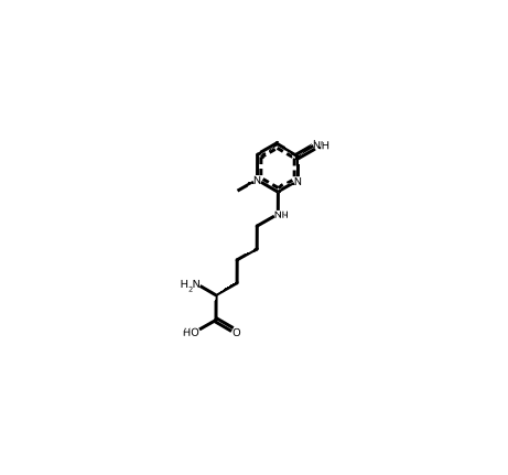 Cn1ccc(=N)nc1NCCCCC(N)C(=O)O